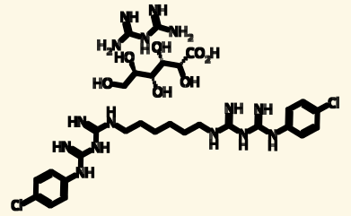 N=C(N)NC(=N)N.N=C(NCCCCCCNC(=N)NC(=N)Nc1ccc(Cl)cc1)NC(=N)Nc1ccc(Cl)cc1.O=C(O)[C@H](O)[C@@H](O)[C@H](O)[C@H](O)CO